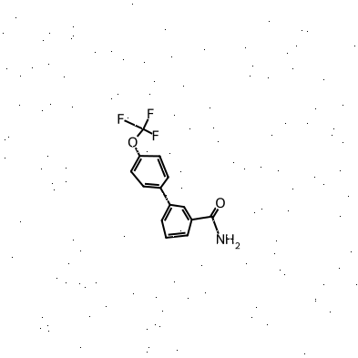 NC(=O)c1cccc(-c2ccc(OC(F)(F)F)cc2)c1